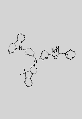 CC1(C)c2ccccc2-c2ccc(N(c3ccc(-c4nnc(-c5ccccc5)o4)cc3)c3ccc(-n4c5ccccc5c5ccccc54)cc3)cc21